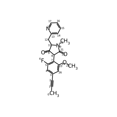 CC#Cc1cc(F)c(C2C(=O)C(Cc3ccccn3)N(C)C2=O)c(OC)c1